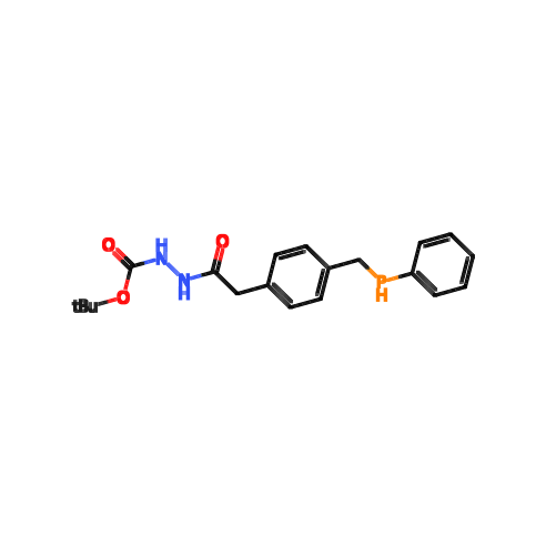 CC(C)(C)OC(=O)NNC(=O)Cc1ccc(CPc2ccccc2)cc1